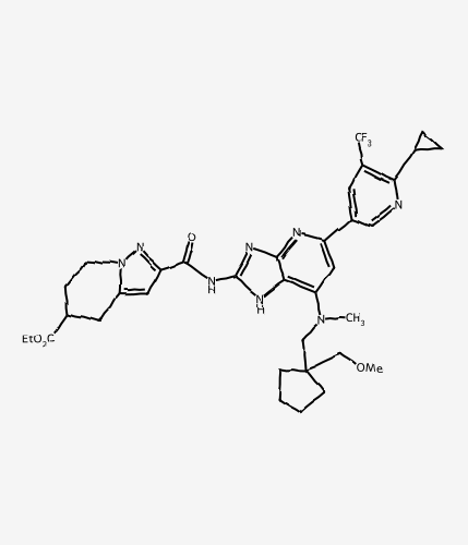 CCOC(=O)C1CCn2nc(C(=O)Nc3nc4nc(-c5cnc(C6CC6)c(C(F)(F)F)c5)cc(N(C)CC5(COC)CCCC5)c4[nH]3)cc2C1